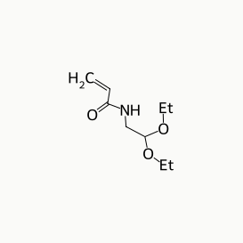 C=CC(=O)NCC(OCC)OCC